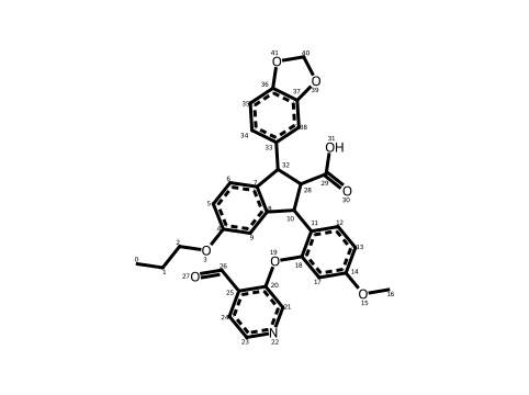 CCCOc1ccc2c(c1)C(c1ccc(OC)cc1Oc1cnccc1C=O)C(C(=O)O)C2c1ccc2c(c1)OCO2